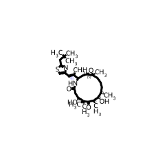 C/C(=C\c1csc(CC(C)(C)C)n1)C1C[C@@H]2O[C@]2(C)CCC[C@H](C)[C@H](O)[C@@H](C)C(=O)C(C)(C)[C@@H](O)CC(=O)N1